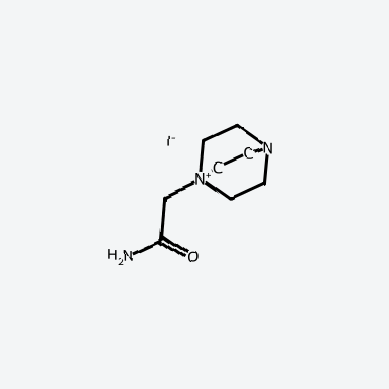 NC(=O)C[N+]12CCN(CC1)CC2.[I-]